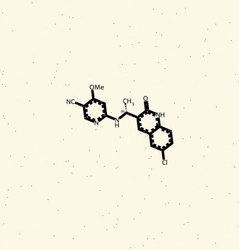 COc1cc(N[C@H](C)c2cc3cc(Cl)ccc3[nH]c2=O)ncc1C#N